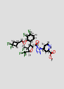 COC(=O)c1cc(NC(=O)[C@@H]2O[C@@](C)(C(F)(F)F)[C@@H](C)[C@H]2c2ccc(F)c(F)c2OCC2CC(F)(F)C2)ccn1